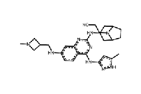 Cc1cc(Nc2nc(NC3CC4CCC(C3)N4CCC#N)nc3cc(NCC4CN(C)C4)ccc23)n[nH]1